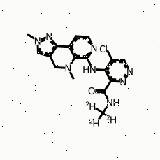 [2H]C([2H])([2H])NC(=O)c1nncc(Cl)c1Nc1nccc2c1N(C)Cc1cn(C)nc1-2